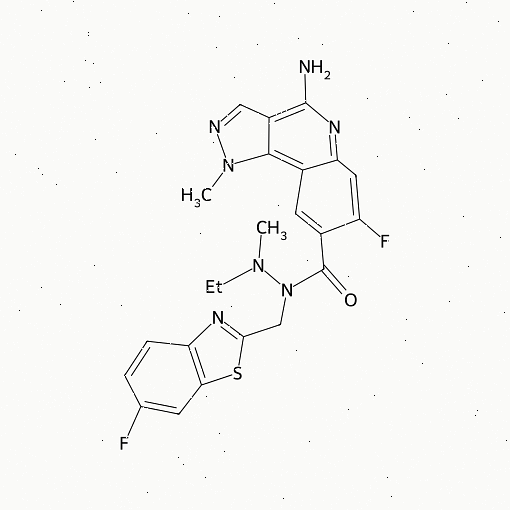 CCN(C)N(Cc1nc2ccc(F)cc2s1)C(=O)c1cc2c(cc1F)nc(N)c1cnn(C)c12